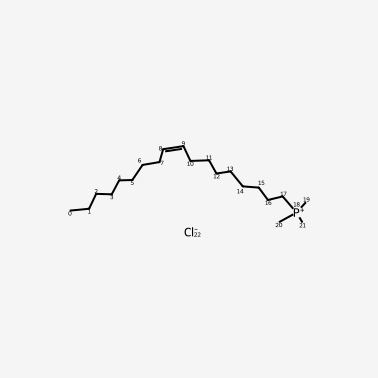 CCCCCCCC/C=C\CCCCCCCC[P+](C)(C)C.[Cl-]